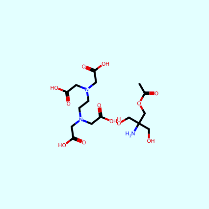 CC(=O)OCC(N)(CO)CO.O=C(O)CN(CCN(CC(=O)O)CC(=O)O)CC(=O)O